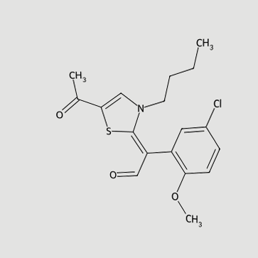 CCCCN1C=C(C(C)=O)S/C1=C(\C=O)c1cc(Cl)ccc1OC